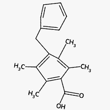 Cc1c(C)c(C(=O)O)c(C)c(C)c1Cc1ccccc1